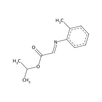 Cc1ccccc1N=CC(=O)OC(C)C